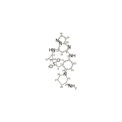 CS(=O)(=O)Cc1cc(Nc2cc(NC3CC3)n3nccc3n2)ccc1N1CCC[C@@H](N)C1